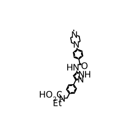 CCN(Cc1ccc(-c2cc(NC(=O)c3ccc(N4CCN(C)CC4)cc3)[nH]n2)cc1)C(=O)O